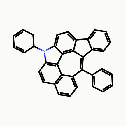 C1=CCC(n2c3ccc4c5c3c3c6c(cccc6c(-c6ccccc6)c-5c5ccccc54)ccc32)C=C1